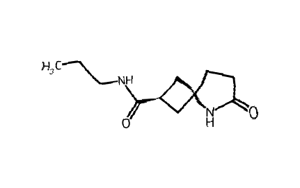 CCCNC(=O)[C@H]1C[C@]2(CCC(=O)N2)C1